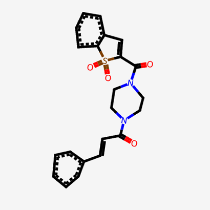 O=C(/C=C/c1ccccc1)N1CCN(C(=O)C2=Cc3ccccc3S2(=O)=O)CC1